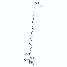 NC(=O)NC(=O)CCCCCCCCCCCCCCCCC(CO)CO